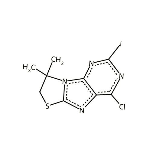 CC1(C)CSc2nc3c(Cl)nc(I)nc3n21